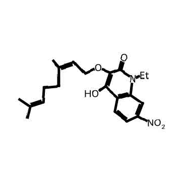 CCn1c(=O)c(OCC=C(C)CCC=C(C)C)c(O)c2ccc([N+](=O)[O-])cc21